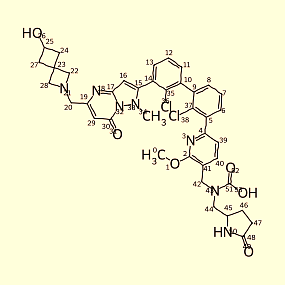 COc1nc(-c2cccc(-c3cccc(-c4cc5nc(CN6CC7(CC(O)C7)C6)cc(=O)n5n4C)c3Cl)c2Cl)ccc1CN(CC1CCC(=O)N1)C(=O)O